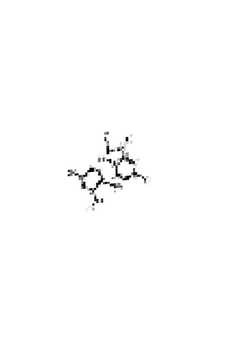 CCNc1cc(Cl)ccc1[N+](=O)[O-].CCn1c(=O)[nH]c2ccc(Cl)cc21